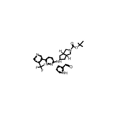 CC(C)(C)OC(=O)N1C[C@H]2CC(Nc3ccc(-c4cnccc4C(F)(F)F)nn3)C[C@H]2C1.O=Cc1ccc[nH]1